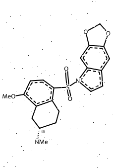 CN[C@H]1CCc2c(S(=O)(=O)n3ccc4cc5c(cc43)OCO5)ccc(OC)c2C1